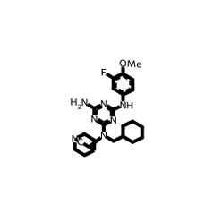 COc1ccc(Nc2nc(N)nc(N(CC3CCCCC3)C3CN4CCC3CC4)n2)cc1F